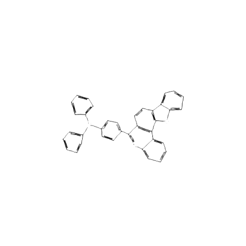 c1ccc(N(c2ccccc2)c2ccc(-c3nc4ccccc4c4c3ccc3c5ccccc5oc34)cc2)cc1